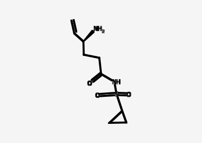 C=C[C@@H](N)CCC(=O)NS(=O)(=O)C1CC1